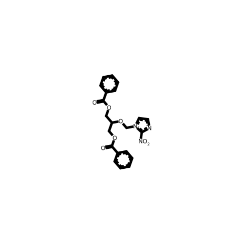 O=C(OCC(COC(=O)c1ccccc1)OCn1ccnc1[N+](=O)[O-])c1ccccc1